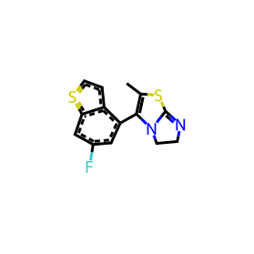 CC1=C(c2cc(F)cc3sccc23)N2CCN=C2S1